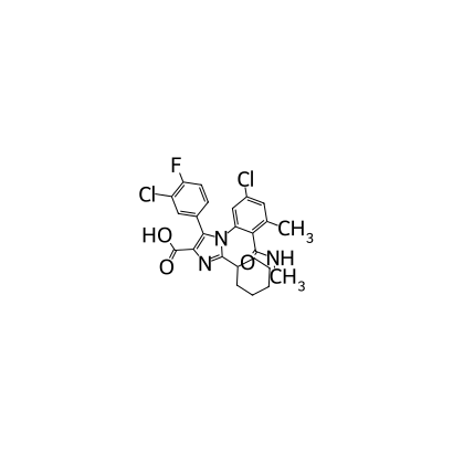 CNC(=O)c1c(C)cc(Cl)cc1-n1c(C2CCCCC2)nc(C(=O)O)c1-c1ccc(F)c(Cl)c1